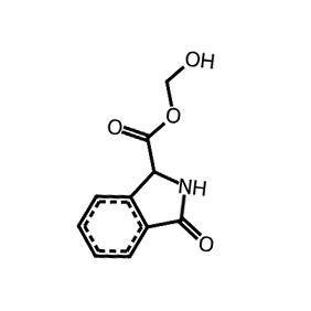 O=C1NC(C(=O)OCO)c2ccccc21